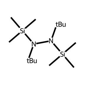 CC(C)(C)N(N(C(C)(C)C)[Si](C)(C)C)[Si](C)(C)C